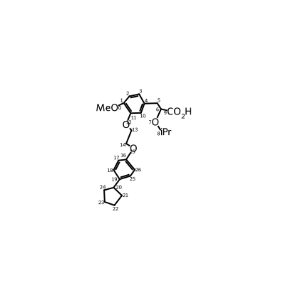 COc1ccc(CC(OC(C)C)C(=O)O)cc1OCCOc1ccc(C2CCCC2)cc1